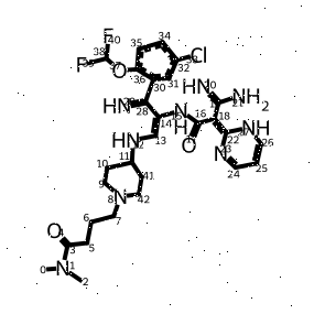 CN(C)C(=O)CCCN1CCC(N/C=C(/NC(=O)/C(C(=N)N)=C2\N=CC=CN2)C(=N)c2cc(Cl)ccc2OC(F)F)CC1